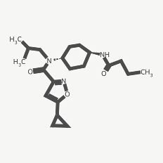 CCCC(=O)N[C@H]1CC[C@H](N(CC(C)C)C(=O)c2cc(C3CC3)on2)CC1